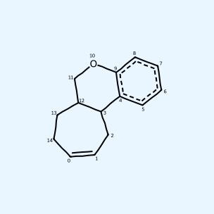 C1=CCC2c3ccccc3OCC2CC1